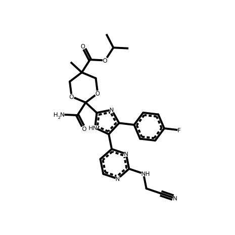 CC(C)OC(=O)C1(C)COC(C(N)=O)(c2nc(-c3ccc(F)cc3)c(-c3ccnc(NCC#N)n3)[nH]2)OC1